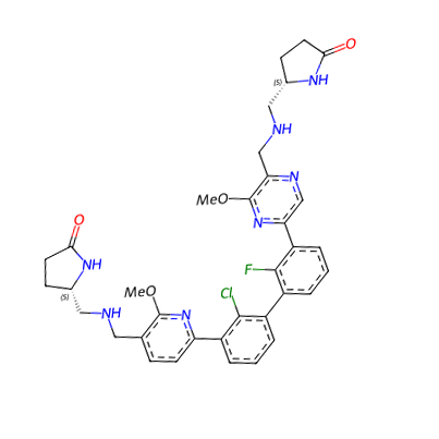 COc1nc(-c2cccc(-c3cccc(-c4cnc(CNC[C@@H]5CCC(=O)N5)c(OC)n4)c3F)c2Cl)ccc1CNC[C@@H]1CCC(=O)N1